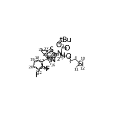 CC(C)(C)OC(=O)N(COCC[Si](C)(C)C)C1=NC(C)(c2cccc(F)c2F)C2CC2(C(=O)O)S1